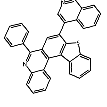 c1ccc(-c2nc3ccccc3c3c2cc(-c2cncc4ccccc24)c2sc4ccccc4c23)cc1